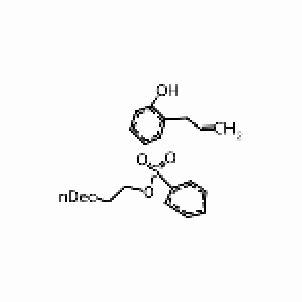 C=CCc1ccccc1O.CCCCCCCCCCCCOS(=O)(=O)c1ccccc1